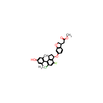 COC(=O)CC1COc2cc(O[C@@H]3CCc4c(-c5c(C)cc(O)cc5C)c(Cl)cc(F)c43)ccc21